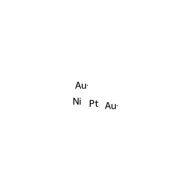 [Au].[Au].[Ni].[Pt]